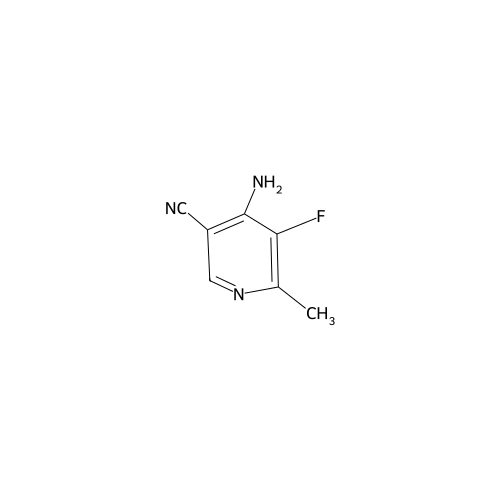 Cc1ncc(C#N)c(N)c1F